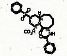 O=C(N[C@H]1CCCC[C@H]2CN(S(=O)(=O)c3ccccc3)C[C@@H](C(=O)O)N2C1=O)c1ccccc1